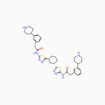 O=C(Cc1cccc(C2CCNCC2)c1)Nc1nnc([C@H]2CCC[C@H](c3nnc(NC(=O)Cc4cccc(C5CCNCC5)c4)s3)C2)s1